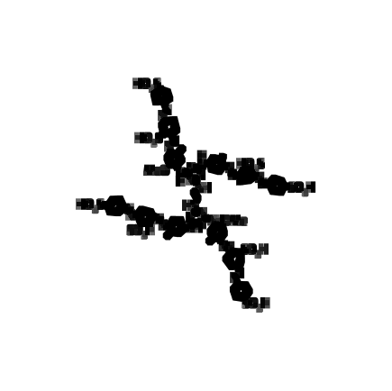 COc1cc(N=Nc2ccc(N=Nc3ccc(S(=O)(=O)O)cc3)cc2S(=O)(=O)O)c(C)cc1Nc1nc(NCCNc2nc(Nc3ccc(N=Nc4ccc(N=Nc5ccc(S(=O)(=O)O)cc5)cc4S(=O)(=O)O)c(C)c3)nc(Nc3cc(C)c(N=Nc4ccc(N=Nc5ccc(S(=O)(=O)O)cc5)cc4S(=O)(=O)O)cc3OC)n2)nc(Nc2ccc(N=Nc3ccc(N=Nc4ccc(S(=O)(=O)O)cc4)cc3S(=O)(=O)O)c(C)c2)n1